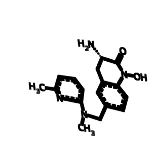 Cc1cccc(N(C)Cc2ccc3c(c2)C[C@H](N)C(=O)N3O)n1